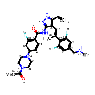 C=Cc1[nH]nc(NC(=O)C2=C(F)CC(N3CCN(C(=O)OC)CC3)C=C2)c1/C=C(\C)c1c(F)cc(CNC(C)C)cc1F